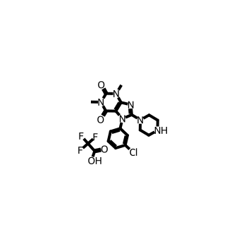 Cn1c(=O)c2c(nc(N3CCNCC3)n2-c2cccc(Cl)c2)n(C)c1=O.O=C(O)C(F)(F)F